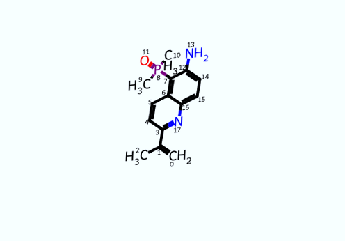 C=C(C)c1ccc2c(P(C)(C)=O)c(N)ccc2n1